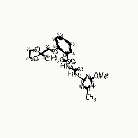 COc1nc(C)nc(NC(=O)NS(=O)(=O)c2ccccc2OCC2(C)OCCO2)n1